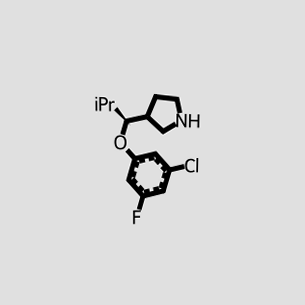 CC(C)[C@H](Oc1cc(F)cc(Cl)c1)C1CCNC1